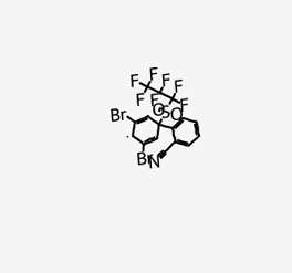 N#Cc1ccccc1C1(S(=O)(=O)C(F)(F)C(F)(F)C(F)(F)F)C=C(Br)[CH]C(Br)=C1